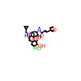 CN(C(=O)/C=C/c1ccoc1)[C@@H]1CC[C@@]2(O)[C@H]3Cc4ccc(O)c5c4[C@@]2([C@@H](F)CN3CC2CC2)[C@H]1O5.Cl